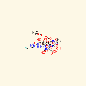 COCCOCCOCCOCCNC(=O)[C@H](C)NC(=O)[C@H](CC(=O)O)NC(=O)[C@@H](NC(=O)[C@H](CCC(=O)O)NC(=O)[C@H](CC(=O)O)NC(=O)C1OC(CNC(=O)Cn2cc(CCCF)nn2)C(O)C(O)C1O)C(C)C